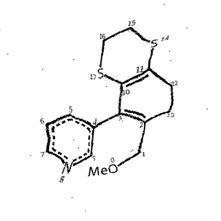 COCC1=C(c2cccnc2)C2=C([CH]C1)SCCS2